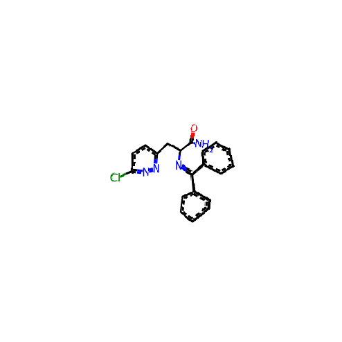 NC(=O)C(Cc1ccc(Cl)nn1)N=C(c1ccccc1)c1ccccc1